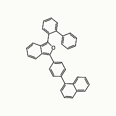 c1ccc(-c2ccccc2-c2oc(-c3ccc(-c4cccc5ccccc45)cc3)c3ccccc23)cc1